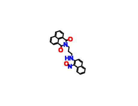 O=Nc1c(NCCCN2C(=O)c3cccc4cccc(c34)C2=O)ccc2ccccc12